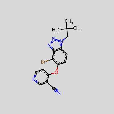 CC(C)(C)Cn1nnc2c(Br)c(Oc3ccncc3C#N)ccc21